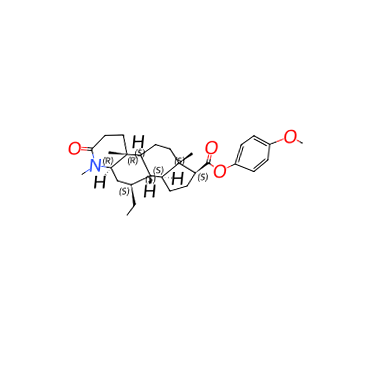 CC[C@H]1C[C@H]2N(C)C(=O)CC[C@]2(C)[C@H]2CC[C@]3(C)[C@@H](C(=O)Oc4ccc(OC)cc4)CC[C@H]3[C@H]12